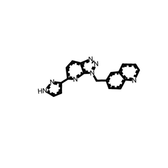 c1cnc2ccc(Cn3nnc4ccc(-c5cc[nH]n5)nc43)cc2c1